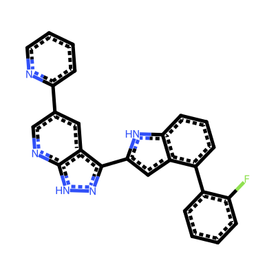 Fc1ccccc1-c1cccc2[nH]c(-c3n[nH]c4ncc(-c5ccccn5)cc34)cc12